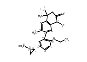 CCN1C(=O)CC(C)(C)c2cc(C)c(-c3cc([C@@H]4C[C@H]4C(=O)O)ccc3OCC(F)(F)F)cc21